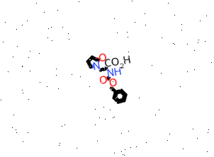 O=C(NC(CN1CCCC1=O)C(=O)O)OCc1ccccc1